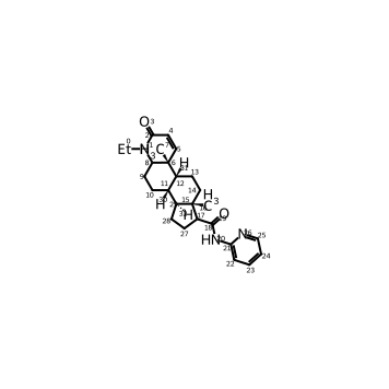 CCN1C(=O)C=C[C@@]2(C)C1CC[C@@H]1[C@H]2CC[C@]2(C)C(C(=O)Nc3ccccn3)CC[C@@H]12